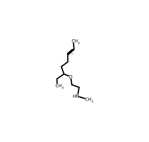 C/C=C/CCC(CC)OCCNC